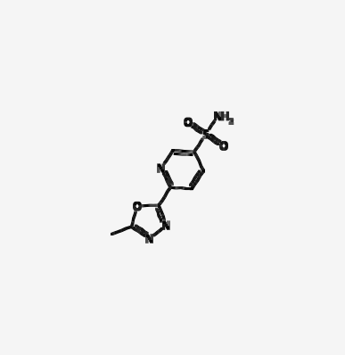 Cc1nnc(-c2ccc(S(N)(=O)=O)cn2)o1